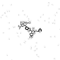 COC[C@@H](c1ccc2oc([C@@H](NC(=O)OCc3ccccc3)C3CCC(F)(F)CC3)nc2c1)N1C[C@@H](C(F)F)NC1=O